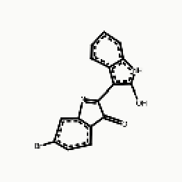 O=C1C(c2c(O)[nH]c3ccccc23)=Nc2cc(Br)ccc21